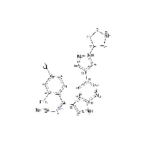 N#C/C=C(\c1ccc(Cl)cc1Cl)c1c[nH]c2ncc(-c3cnn(C4CCNC4)c3)cc12